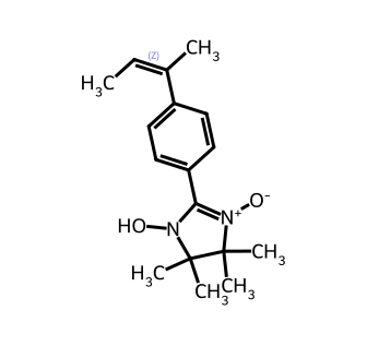 C/C=C(/C)c1ccc(C2=[N+]([O-])C(C)(C)C(C)(C)N2O)cc1